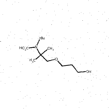 CCCCN(C(=O)O)C(C)(C)COCCCO